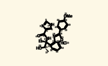 CC[C@@](NC(=O)c1c[nH]cn1)(c1cccc2oc(-c3ccc(OC)cc3)nc12)[C@H](C)O.Cl